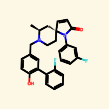 C[C@H]1C[C@@]2(C=CC(=O)N2c2cccc(F)c2)CCN1Cc1ccc(O)c(-c2ccccc2F)c1